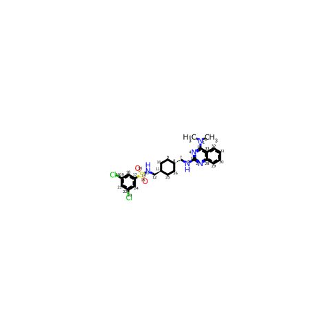 CN(C)c1nc(NC[C@H]2CC[C@H](CNS(=O)(=O)c3cc(Cl)cc(Cl)c3)CC2)nc2ccccc12